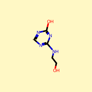 OCCNc1n[c]nc(O)n1